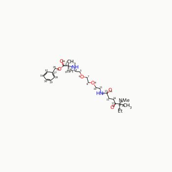 CCCC(C)(NCCOCCOCCNC(=O)CCC(=O)C(C)(CC)NC)C(=O)OCc1ccccc1